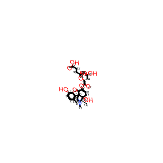 Cc1ccc(O)c2c1C13CCN(C)[C@H](C)[C@]1(O)CC=C(OC(=O)[C@@H](CC(=O)O)OC(=O)CCC(=O)O)C3O2